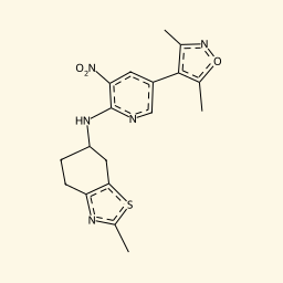 Cc1nc2c(s1)CC(Nc1ncc(-c3c(C)noc3C)cc1[N+](=O)[O-])CC2